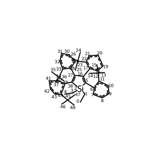 CC[Si]1(CC)C(c2ccccc2C(C)(C)C)=C(c2ccccc2C(C)(C)C)C(c2ccccc2C(C)(C)C)=C1c1ccccc1C(C)(C)C